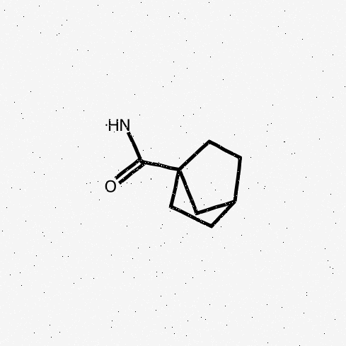 [NH]C(=O)C12CCC(CC1)C2